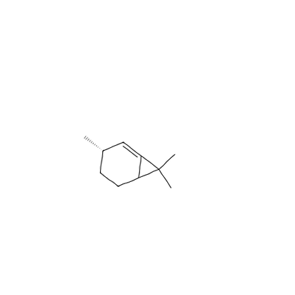 C[C@@H]1C=C2C(CC1)C2(C)C